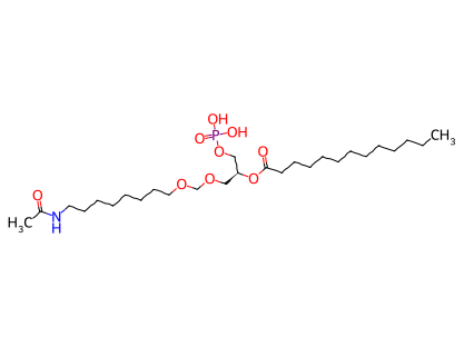 CCCCCCCCCCCCC(=O)O[C@@H](COCOCCCCCCCCNC(C)=O)COP(=O)(O)O